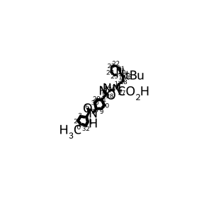 Cc1ccc(C(=O)Nc2ccc(-c3nnc(N(CCC(N4CCCCC4)C(C)(C)C)C(=O)O)o3)cc2)cc1